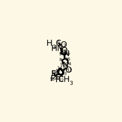 CC(=O)Nc1cc(C2CCN(C(=O)c3ccc(C(F)(F)F)c(C)c3)CC2)no1